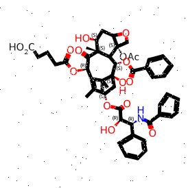 CC(=O)O[C@@]12COC1C[C@H](O)[C@@]1(C)C(=O)[C@H](OC(=O)CCCC(=O)O)C3=C(C)[C@@H](OC(=O)[C@H](O)[C@H](NC(=O)c4ccccc4)c4ccccc4)C[C@@](O)([C@@H](OC(=O)c4ccccc4)C21)C3(C)C